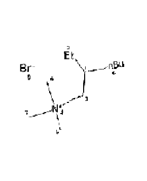 CCCCC(CC)C[N+](C)(C)C.[Br-]